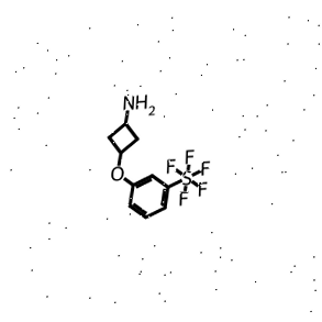 NC1CC(Oc2cccc(S(F)(F)(F)(F)F)c2)C1